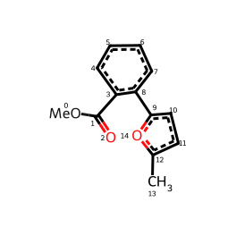 COC(=O)c1ccccc1-c1ccc(C)o1